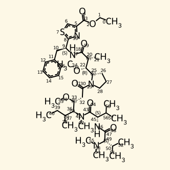 CCOC(=O)c1csc([C@H](Cc2ccccc2)NC(=O)[C@H](C)[C@@H](OC)[C@@H]2CCCN2C(=O)C[C@@H](OC)[C@H]([C@@H](C)CC)N(C)C(=O)[C@@H](NC(=O)[C@H](C(C)C)N(C)C)C(C)C)n1